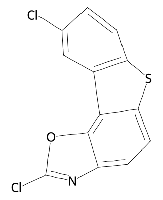 Clc1ccc2sc3ccc4nc(Cl)oc4c3c2c1